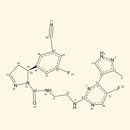 Cc1n[nH]cc1-c1nc(NCCNC(=O)N2N=CC[C@H]2c2cc(F)cc(C#N)c2)ncc1F